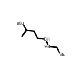 CCCCC(C)CCBBCC(C)CC